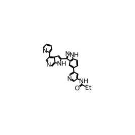 CCC(=O)Nc1cncc(-c2ccc3[nH]nc(-c4cc5c(-c6ccccn6)cncc5[nH]4)c3c2)c1